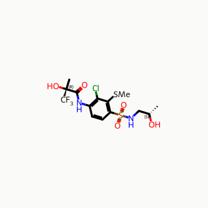 CSc1c(S(=O)(=O)NC[C@H](C)O)ccc(NC(=O)[C@@](C)(O)C(F)(F)F)c1Cl